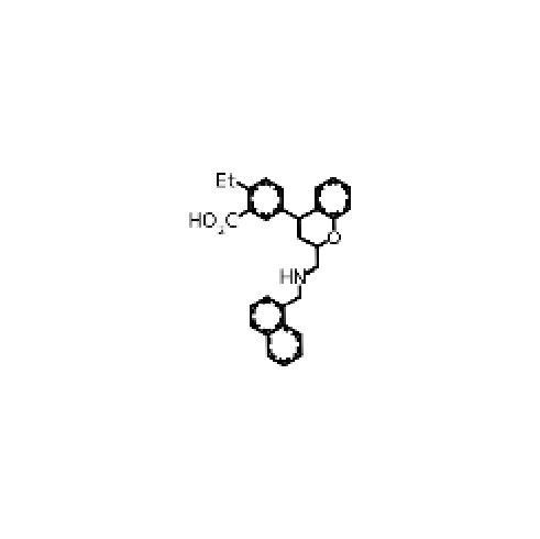 CCc1ccc(C2CC(CNCc3cccc4ccccc34)Oc3ccccc32)cc1C(=O)O